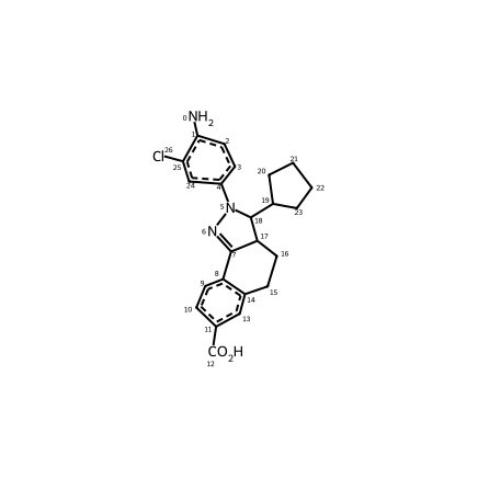 Nc1ccc(N2N=C3c4ccc(C(=O)O)cc4CCC3C2C2CCCC2)cc1Cl